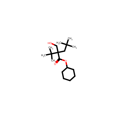 CC(C)(C)CC(CO)(C(=O)OC1CCCCC1)C(C)(C)C